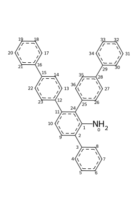 Nc1c(-c2ccccc2)ccc(-c2ccc(-c3ccccc3)cc2)c1-c1ccc(-c2ccccc2)cc1